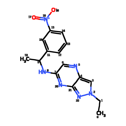 CCn1cc2ncc(NC(C)c3cccc([N+](=O)[O-])c3)nc2n1